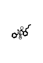 CCCCc1ccccc1C(=O)N(C)N(P=O)c1ccccc1